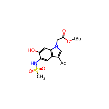 CC(=O)c1cn(CC(=O)OC(C)(C)C)c2cc(O)c(NS(C)(=O)=O)cc12